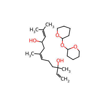 C1CCC(OC2CCCCO2)OC1.C=CC(C)(O)CCC=C(C)CC(O)C=C(C)C